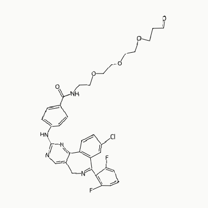 O=CCCOCCOCCOCCNC(=O)c1ccc(Nc2ncc3c(n2)-c2ccc(Cl)cc2C(c2c(F)cccc2F)=NC3)cc1